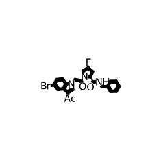 CC(=O)c1cn(CC(=O)N2C[C@H](F)C[C@H]2C(=O)NCc2ccccc2)c2ccc(Br)cc12